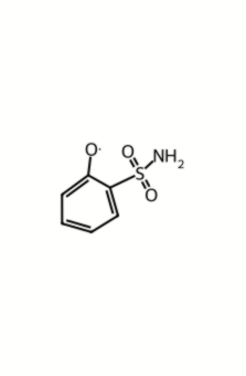 NS(=O)(=O)c1ccccc1[O]